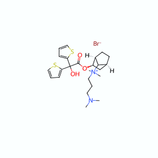 CN(C)CCC[N+](C)(C)C1[C@H]2CC[C@@H]1[C@H](OC(=O)C(O)(c1cccs1)c1cccs1)C2.[Br-]